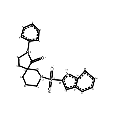 O=C1N(c2ccccc2)CCC12CCCN(S(=O)(=O)c1cc3ccccc3s1)C2